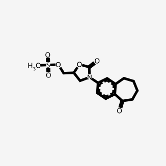 CS(=O)(=O)OCC1CN(c2ccc3c(c2)CCCCC3=O)C(=O)O1